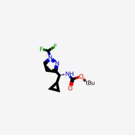 CC(C)(C)OC(=O)N[C@@H](c1ccn(C(F)F)n1)C1CC1